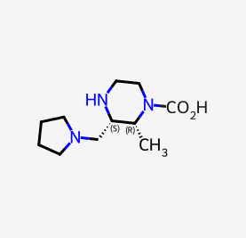 C[C@@H]1[C@H](CN2CCCC2)NCCN1C(=O)O